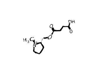 CN1CCC[C@H]1COC(=O)CCC(=O)O